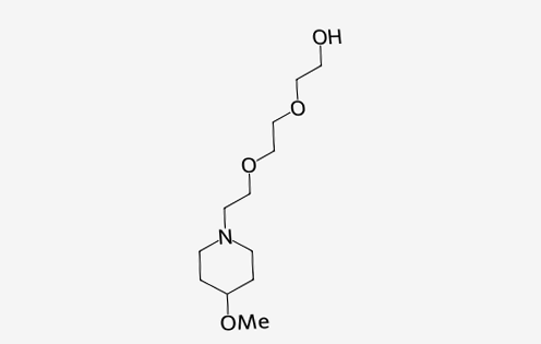 COC1CCN(CCOCCOCCO)CC1